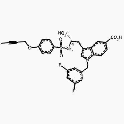 CC#CCOc1ccc(S(=O)(=O)N[C@@H](Cc2cn(Cc3cc(F)cc(F)c3)c3ccc(C(=O)O)cc23)C(=O)O)cc1